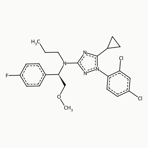 CCCN(c1nc(C2CC2)n(-c2ccc(Cl)cc2Cl)n1)[C@@H](COC)c1ccc(F)cc1